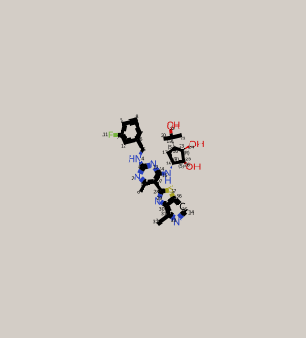 Cc1nc(NCc2cccc(F)c2)nc(N[C@@H]2C[C@H](C(C)(C)O)[C@@H](O)[C@H]2O)c1-c1nc2c(C)nccc2s1